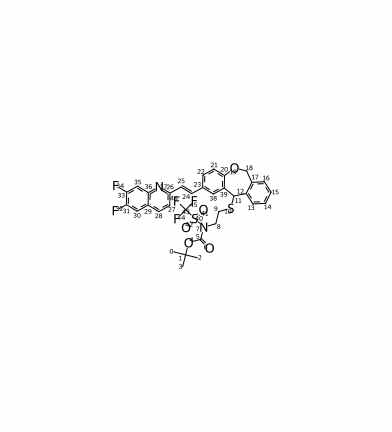 CC(C)(C)OC(=O)N(CCSC1c2ccccc2COc2ccc(/C=C/c3ccc4cc(F)c(F)cc4n3)cc21)S(=O)(=O)C(F)(F)F